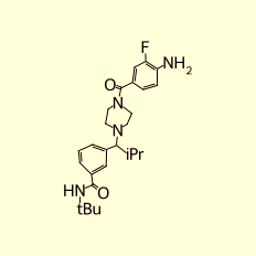 CC(C)C(c1cccc(C(=O)NC(C)(C)C)c1)N1CCN(C(=O)c2ccc(N)c(F)c2)CC1